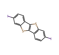 Ic1ccc2c(c1)sc1c3ccc(I)cc3sc21